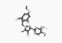 CCOc1cc(F)c(Cn2nc(-c3ncc(OC)c(N)n3)c(Cl)c2C)c(F)c1